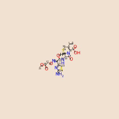 C=CC1=C(C(=O)O)N2C(=O)C(NC(=O)/C(=N/OCC(=O)OC)c3csc(N)n3)[C@H]2SC1